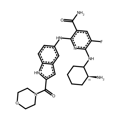 NC(=O)c1cc(F)c(NC2CCCC[C@@H]2N)nc1Nc1ccc2[nH]c(C(=O)N3CCOCC3)cc2c1